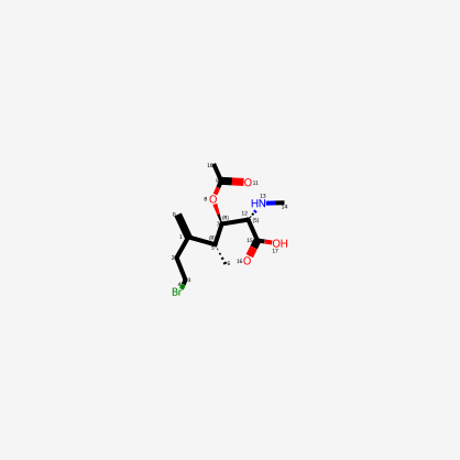 C=C(CCBr)[C@@H](C)[C@@H](OC(C)=O)[C@H](NC)C(=O)O